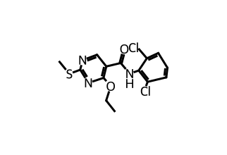 CCOc1nc(SC)ncc1C(=O)Nc1c(Cl)cccc1Cl